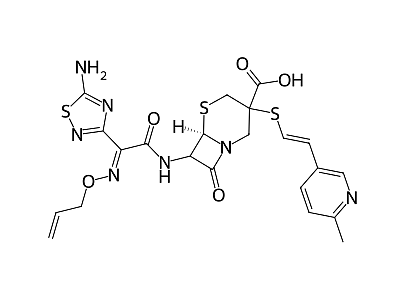 C=CCON=C(C(=O)NC1C(=O)N2CC(SC=Cc3ccc(C)nc3)(C(=O)O)CS[C@H]12)c1nsc(N)n1